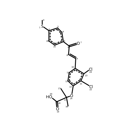 CSc1ccc(C(=O)/C=C/c2ccc(OC(C)(C)C(=O)O)c(Cl)c2Cl)cc1